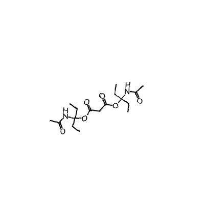 CCC(CC)(NC(C)=O)OC(=O)CC(=O)OC(CC)(CC)NC(C)=O